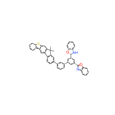 CC1(C)c2cc(-c3cccc(-c4cc(-c5nc6ccccc6o5)cc(C5Nc6ccccc6O5)c4)c3)ccc2-c2cc3c(cc21)sc1ccccc13